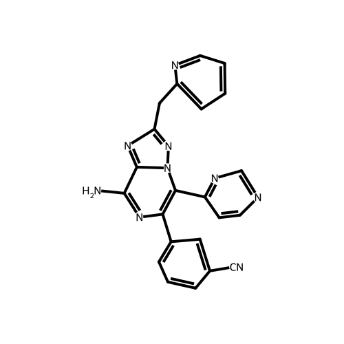 N#Cc1cccc(-c2nc(N)c3nc(Cc4ccccn4)nn3c2-c2ccncn2)c1